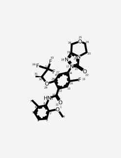 COc1cccc(C)c1NC(=O)c1cc(F)c(-n2nc3n(c2=O)CCOC3)cc1O[C@@H](C)C(F)(F)F